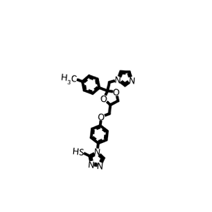 Cc1ccc(C2(Cn3ccnc3)OCC(COc3ccc(-n4cnnc4S)cc3)O2)cc1